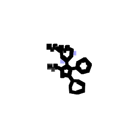 Bc1sc(C2C=CC=CCC2)c(-c2ccccc2)c1C(/C=C\C)=C/C=C